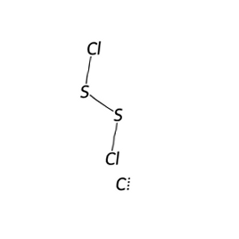 ClSSCl.[C]